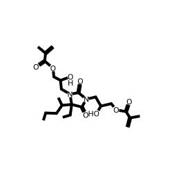 C=C(C)C(=O)OCC(O)CN1C(=O)N(CC(O)COC(=O)C(=C)C)C(CC)(C(C)CCC)C1=O